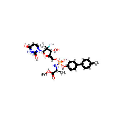 CC(C)OC(=O)[C@H](C)NP(=O)(O/C=C1/O[C@@H](n2ccc(=O)[nH]c2=O)[C@](C)(F)[C@@H]1O)Oc1ccc(-c2ccc(C#N)cc2)cc1